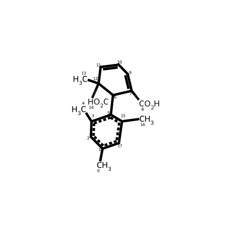 Cc1cc(C)c(C2C(C(=O)O)=CC=CC2(C)C(=O)O)c(C)c1